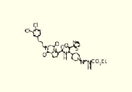 CCOC(=O)N/C=N/N1CCC(C(NC(=O)C2CCC3C(=O)N(CCCc4ccc(Cl)c(Cl)c4)CC(=O)N23)C(=O)c2nccs2)CC1